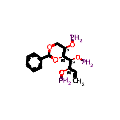 C=C[C@@H](OP)[C@@H](OP)[C@@H]1OC(c2ccccc2)OC[C@H]1OP